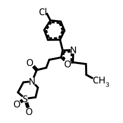 CCCc1nc(-c2ccc(Cl)cc2)c(CCC(=O)N2CCS(=O)(=O)CC2)o1